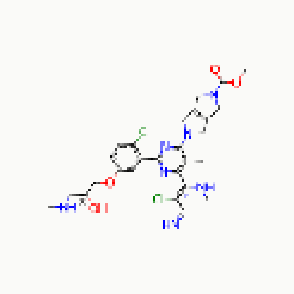 CNC[C@@H](O)COc1ccc(Cl)c(-c2nc(/C(NC)=C(\Cl)C=N)c(C)c(N3CC4=C(CN(C(=O)OC)C4)C3)n2)c1